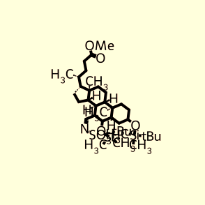 COC(=O)CC[C@@H](C)[C@H]1CC[C@H]2[C@@H]3C(/C=N\S(=O)(=O)O)C(O[Si](C)(C)C(C)(C)C)[C@@H]4CC(O[Si](C)(C)C(C)(C)C)CC[C@]4(C)[C@H]3CC[C@]12C